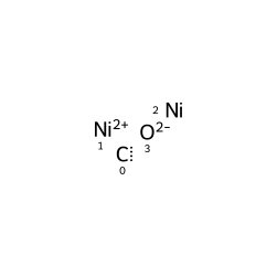 [C].[Ni+2].[Ni].[O-2]